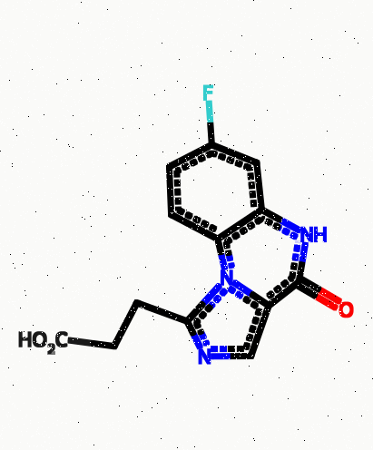 O=C(O)CCc1ncc2c(=O)[nH]c3cc(F)ccc3n12